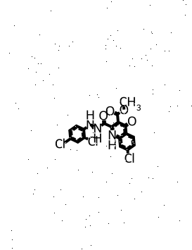 COC(=O)c1c(C(=O)NNc2ccc(Cl)cc2Cl)[nH]c2cc(Cl)ccc2c1=O